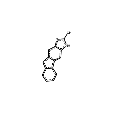 Oc1nc2cc3oc4ccccc4c3cc2[nH]1